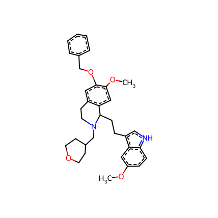 COc1ccc2[nH]cc(CCC3c4cc(OC)c(OCc5ccccc5)cc4CCN3CC3CCOCC3)c2c1